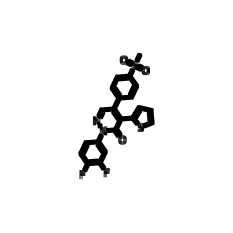 CS(=O)(=O)c1ccc(-c2cnn(-c3ccc(F)c(F)c3)c(=O)c2-c2cccs2)cc1